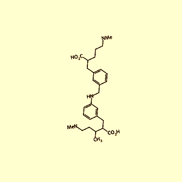 CNCCCC(Cc1cccc(CNc2cccc(CC(C(=O)O)C(C)CCNC)c2)c1)C(=O)O